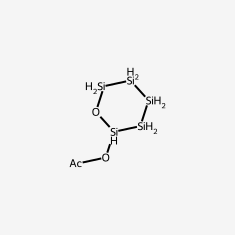 CC(=O)O[SiH]1O[SiH2][SiH2][SiH2][SiH2]1